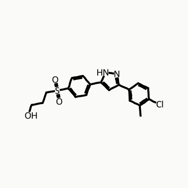 Cc1cc(-c2cc(-c3ccc(S(=O)(=O)CCCO)cc3)[nH]n2)ccc1Cl